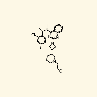 Cc1ccc([C@@H](C)Nc2nc(N3CC([C@H]4CCCN(CCO)C4)C3)nc3ccccc23)c(Cl)c1